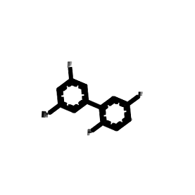 Fc1[c]cc(F)c(-c2cc(F)cc(Br)c2)c1